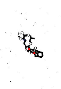 CCC1CC2CCCC(C1)C2NC(=O)c1cnn(C/C=C(\OC)C(=O)O)c1OCC(C)C